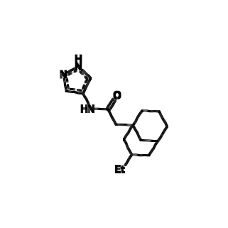 CCC1CC2CCCC(CC(=O)Nc3cn[nH]c3)(C1)C2